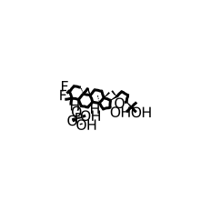 CC(C)(O)[C@@H]1CC[C@@](C)([C@H]2[C@@H](O)C[C@@]3(C)[C@@H]4C[C@H](OP(=O)(O)O)[C@H]5C(C)(C)C(F)(F)CC[C@@]56C[C@@]46CC[C@]23C)O1